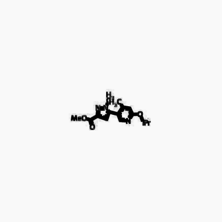 COC(=O)c1cc(-c2cnc(OC(C)C)cc2C)n(C)n1